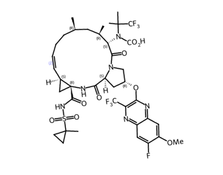 COc1cc2nc(O[C@@H]3C[C@H]4C(=O)N[C@]5(C(=O)NS(=O)(=O)C6(C)CC6)C[C@H]5/C=C\CC[C@@H](C)C[C@@H](C)[C@H](N(C(=O)O)C(C)(C)C(F)(F)F)C(=O)N4C3)c(C(F)(F)F)nc2cc1F